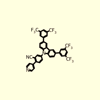 N#Cc1cc(-n2c3ccc(-c4cc(C(F)(F)F)cc(C(F)(F)F)c4)cc3c3cc(-c4cc(C(F)(F)F)cc(C(F)(F)F)c4)ccc32)ccc1-c1ccncc1